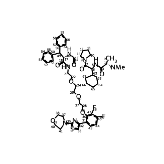 CN[C@@H](C)C(=O)N[C@H](C(=O)N1CCC[C@H]1C(=O)N[C@H](C(=O)NCCOCCOCCOc1c(-c2csc(N3CCOCC3)n2)ccc(F)c1F)C(c1ccccc1)c1ccccc1)C1CCCCC1